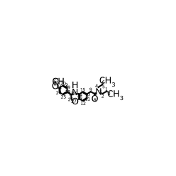 CCCN(CCC)C(=O)Cc1ccc2c(c1)NC(c1ccc(OC)cc1)CO2